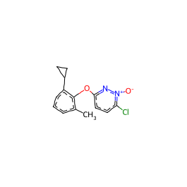 Cc1cccc(C2CC2)c1Oc1ccc(Cl)[n+]([O-])n1